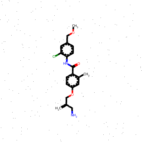 C=C(CN)COc1ccc(C(=O)Nc2ccc(COC)cc2Cl)c(C)c1